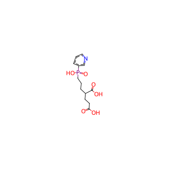 O=C(O)CCC(CCCP(=O)(O)c1cccnc1)C(=O)O